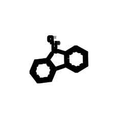 [O-][NH+]1c2ccccc2-c2ccccc21